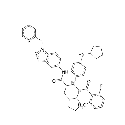 Cc1cccc(F)c1C(=O)N1C2CCCC2CC(C(=O)Nc2ccc3c(cnn3Cc3ccccn3)c2)[C@@H]1c1ccc(NC2CCCC2)cc1